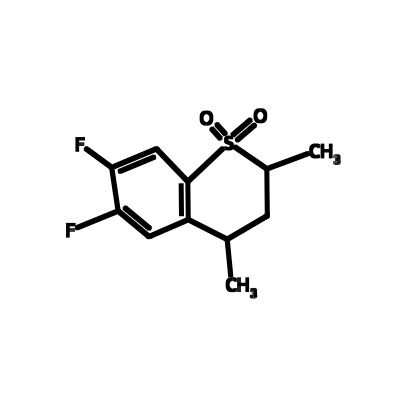 CC1CC(C)S(=O)(=O)c2cc(F)c(F)cc21